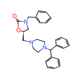 O=C1O[C@H](CN2CCN(C(c3ccccc3)c3ccccc3)CC2)CN1Cc1ccccc1